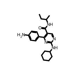 CCC(C)NC(=O)c1cnc(NC2CCCCC2)nc1-c1ccc(N)cc1